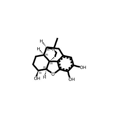 CN1CC[C@]23c4c5cc(O)c(O)c4O[C@H]2[C@@H](O)CC[C@H]3[C@H]1C5